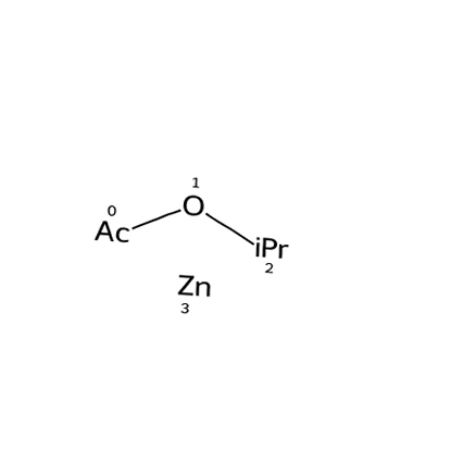 CC(=O)OC(C)C.[Zn]